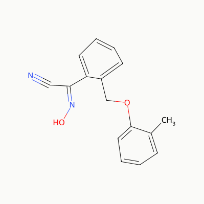 Cc1ccccc1OCc1ccccc1C(C#N)=NO